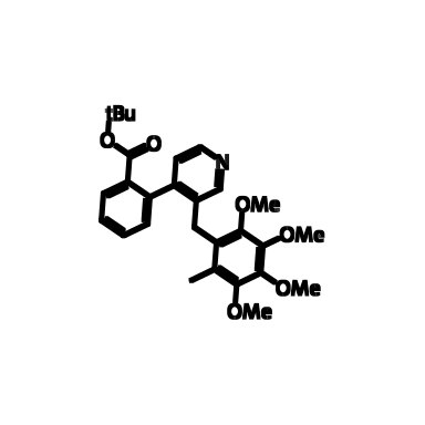 COc1c(C)c(Cc2cnccc2-c2ccccc2C(=O)OC(C)(C)C)c(OC)c(OC)c1OC